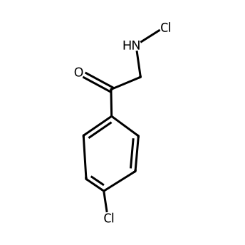 O=C(CNCl)c1ccc(Cl)cc1